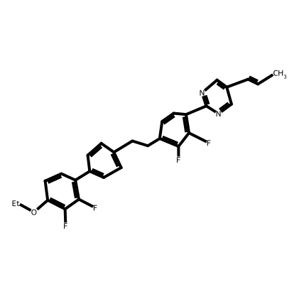 C/C=C/c1cnc(-c2ccc(CCc3ccc(-c4ccc(OCC)c(F)c4F)cc3)c(F)c2F)nc1